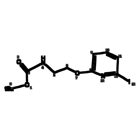 CC(C)(C)OC(=O)NCCOc1cccc(I)n1